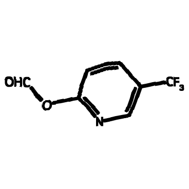 O=COc1ccc(C(F)(F)F)cn1